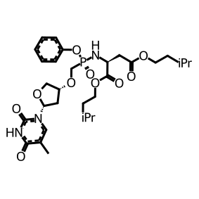 Cc1cn([C@H]2C[C@@H](OCP(=O)(N[C@@H](CC(=O)OCCC(C)C)C(=O)OCCC(C)C)Oc3ccccc3)CO2)c(=O)[nH]c1=O